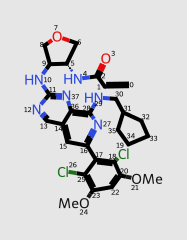 C=CC(=O)N[C@H]1COCC1Nc1ncc2cc(-c3c(Cl)c(OC)cc(OC)c3Cl)nc(NCC3CCCC3)c2n1